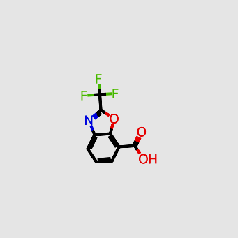 O=C(O)c1cccc2nc(C(F)(F)F)oc12